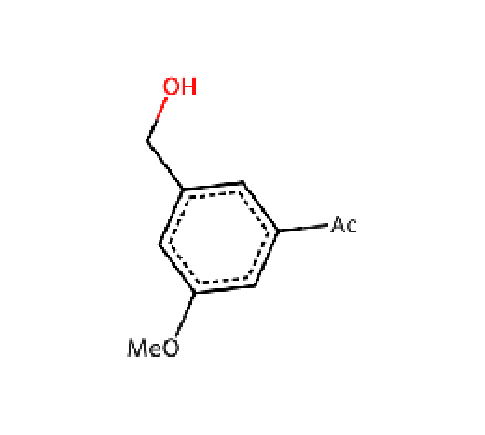 COc1cc(CO)cc(C(C)=O)c1